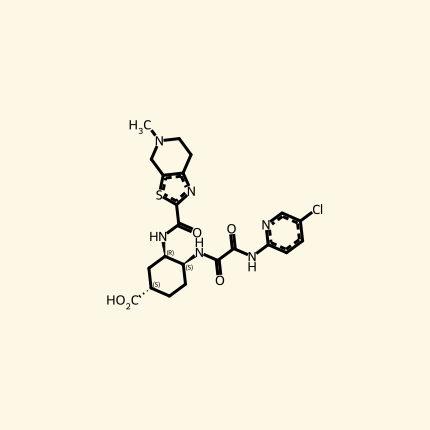 CN1CCc2nc(C(=O)N[C@@H]3C[C@@H](C(=O)O)CC[C@@H]3NC(=O)C(=O)Nc3ccc(Cl)cn3)sc2C1